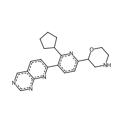 c1ncc2ccc(-c3ccc(C4CNCCO4)nc3C3CCCC3)nc2n1